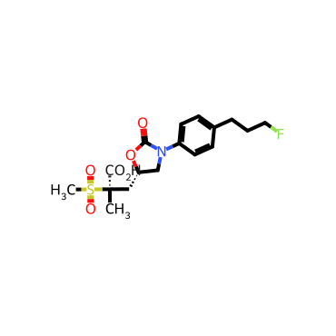 C[C@@](C[C@H]1CN(c2ccc(CCCF)cc2)C(=O)O1)(C(=O)O)S(C)(=O)=O